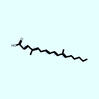 CCCCC/C=C(C)/C=C/C=C/C/C=C(C)/C=C/C(=O)O